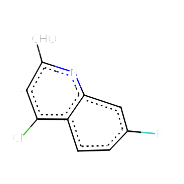 O=Cc1cc(Cl)c2ccc(F)cc2n1